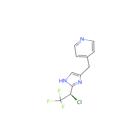 FC(F)(F)[C@H](Cl)c1nc(Cc2ccncc2)c[nH]1